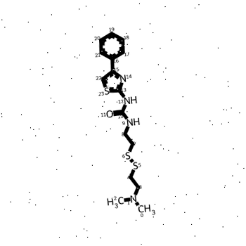 CN(C)CCSSCCNC(=O)Nc1nc(-c2ccccc2)cs1